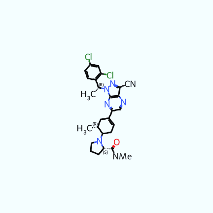 CNC(=O)[C@@H]1CCCN1C1CC=C(c2cnc3c(C#N)nn([C@H](C)c4ccc(Cl)cc4Cl)c3n2)C[C@H]1C